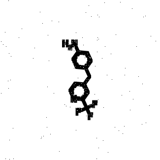 Nc1ccc(Cc2ccnc(C(F)(F)F)c2)cc1